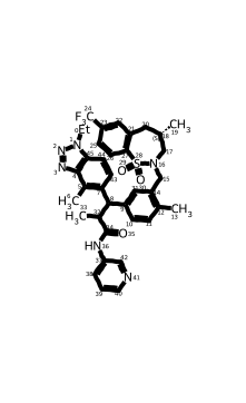 CCn1nnc2c(C)c(C(c3ccc(C)c(CN4C[C@@H](C)Cc5cc(C(F)(F)F)ccc5S4(=O)=O)c3)C(C)C(=O)Nc3cccnc3)ccc21